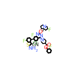 N#Cc1c(N)sc2c(F)ccc(-c3c(Cl)cc4c(N5CCC(C(=O)Oc6ccccc6F)CC5)nc(OC[C@@]56CCCN5C[C@H](F)C6)nc4c3F)c12